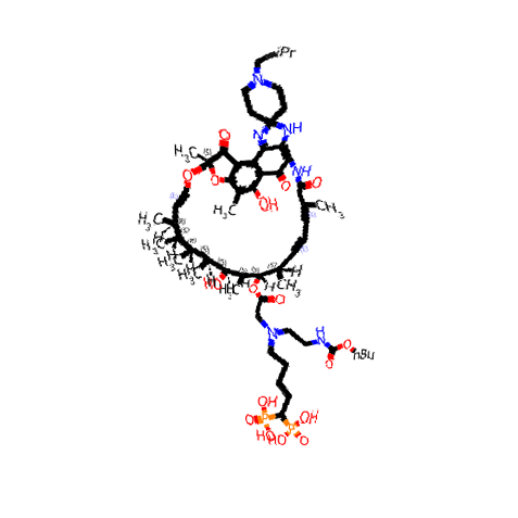 CCCCOC(=O)NCCN(CCCCC(P(=O)(O)O)P(=O)(O)O)CC(=O)O[C@@H]1[C@@H](C)[C@@H](O)[C@@H](C)[C@H](C)[C@H](C)[C@@H](C)/C=C/O[C@@]2(C)Oc3c(C)c(O)c4c(c3C2=O)C2=NC3(CCN(CC(C)C)CC3)NC2=C(NC(=O)/C(C)=C\C=C\[C@@H]1C)C4=O